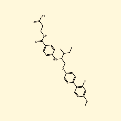 CCC(C)C(COc1ccc(-c2ccc(OC)cc2Cl)cc1)Nc1ccc(C(=O)NCCC(=O)O)cc1